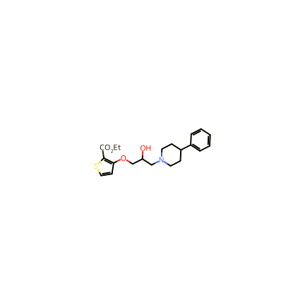 CCOC(=O)c1sccc1OCC(O)CN1CCC(c2ccccc2)CC1